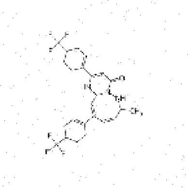 CC1/C=C\C(C2=CCC(C(F)(F)F)CC2)=C/C2NC(C3=CCC(C(F)(F)F)CC3)=CC(=O)N2N1